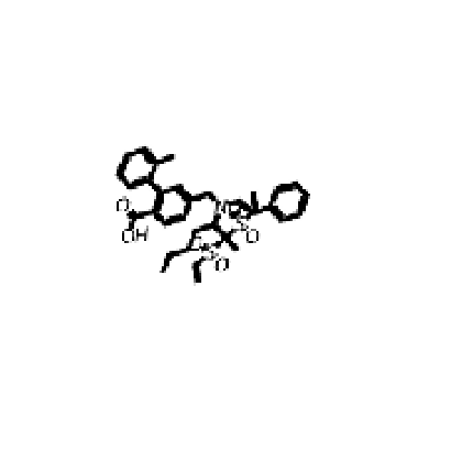 CCCCC(N(CCc1ccccc1)Cc1ccc(C(=O)O)c(-c2ccccc2C)c1)C(C)(S(=O)(=O)CC)S(=O)(=O)CC